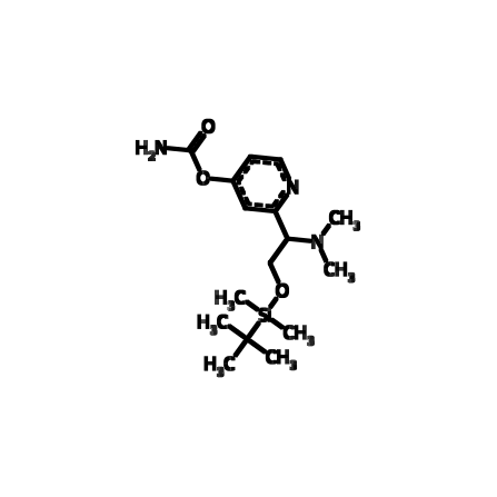 CN(C)C(CO[Si](C)(C)C(C)(C)C)c1cc(OC(N)=O)ccn1